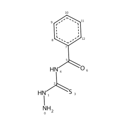 NNC(=S)NC(=O)c1ccccc1